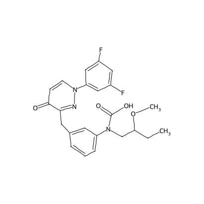 CCC(CN(C(=O)O)c1cccc(Cc2nn(-c3cc(F)cc(F)c3)ccc2=O)c1)OC